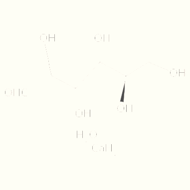 O.O=C[C@H](O)[C@@H](O)[C@H](O)[C@H](O)CO.[CaH2]